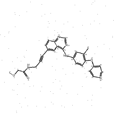 COCC(=O)NCC#Cc1ccc2ncnc(Nc3ccc(Oc4ccncc4)c(C)c3)c2c1